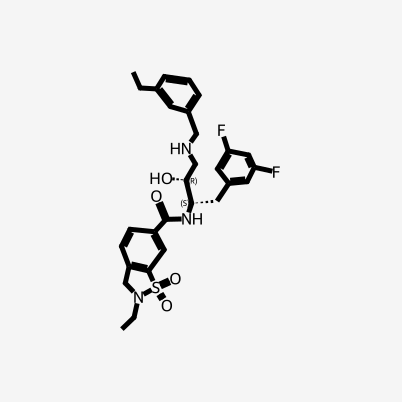 CCc1cccc(CNC[C@@H](O)[C@H](Cc2cc(F)cc(F)c2)NC(=O)c2ccc3c(c2)S(=O)(=O)N(CC)C3)c1